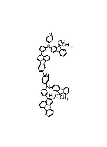 CC1(C)c2ccccc2-c2ccc(N(c3ccncc3)c3cccc(-c4ccc5c6c(cccc46)-c4cc(-c6ccc(N(c7cccc(-c8ccc9c%10c(cccc8%10)-c8ccccc8-9)c7)c7ccc8c(c7)C(C)(C)c7ccccc7-8)cn6)ccc4-5)c3)cc21